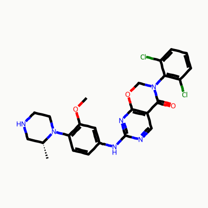 COc1cc(Nc2ncc3c(n2)OCN(c2c(Cl)cccc2Cl)C3=O)ccc1N1CCNC[C@H]1C